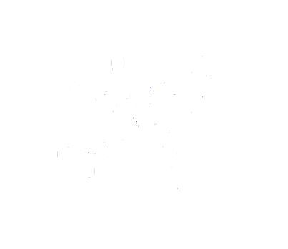 CCCCCCCCC(=Nc1ccc(CCC)c(CCC)c1)C(CCCCC)=Nc1ccc(CCC)c(CCC)c1.[Pd]